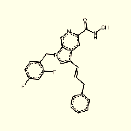 O=C(NO)c1cc2c(C=CCc3ccccc3)cn(Cc3ccc(F)cc3F)c2cn1